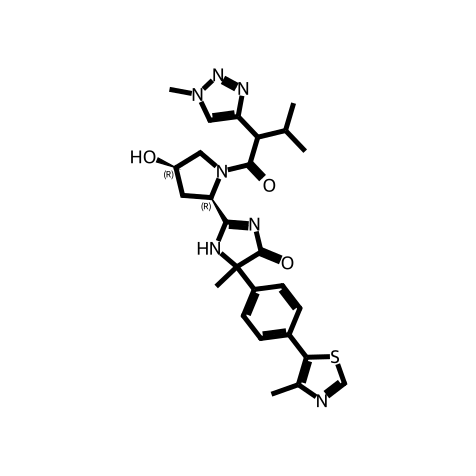 Cc1ncsc1-c1ccc(C2(C)NC([C@H]3C[C@@H](O)CN3C(=O)C(c3cn(C)nn3)C(C)C)=NC2=O)cc1